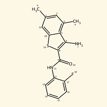 Cc1cc(C)c2c(N)c(C(=O)Nc3ccccc3F)sc2c1